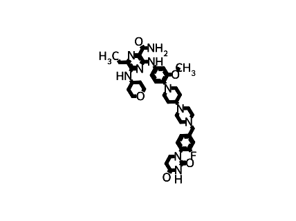 CCc1nc(C(N)=O)c(Nc2ccc(N3CCC(N4CCN(Cc5ccc(N6CCC(=O)NC6=O)c(F)c5)CC4)CC3)c(OC)c2)nc1NC1CCOCC1